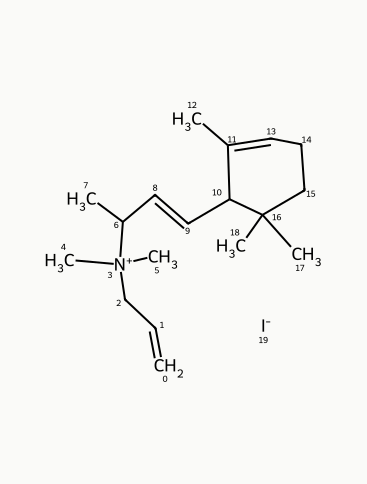 C=CC[N+](C)(C)C(C)/C=C/C1C(C)=CCCC1(C)C.[I-]